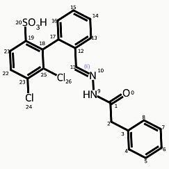 O=C(Cc1ccccc1)N/N=C/c1ccccc1-c1c(S(=O)(=O)O)ccc(Cl)c1Cl